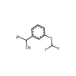 CC(C)C(C#N)c1cccc(SC(F)F)c1